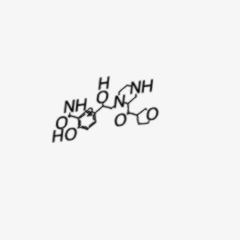 NC(=O)c1cc(C(O)CN2CCNCC2C(=O)C2CCOC2)ccc1O